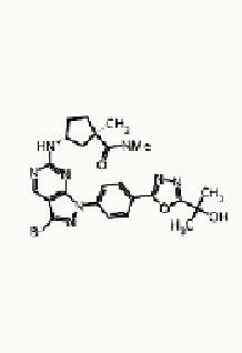 CNC(=O)[C@]1(C)CC[C@@H](Nc2ncc3c(Br)nn(-c4ccc(-c5nnc(C(C)(C)O)o5)cc4)c3n2)C1